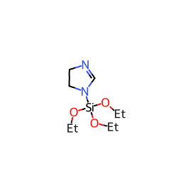 CCO[Si](OCC)(OCC)N1C=NCC1